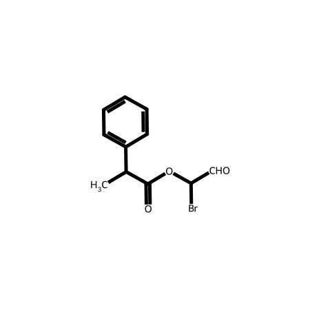 CC(C(=O)OC(Br)C=O)c1ccccc1